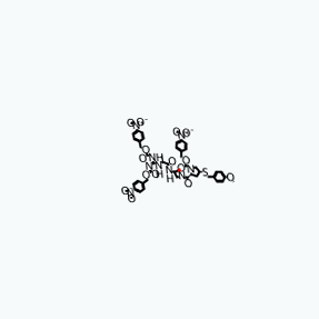 COc1ccc(CS[C@H]2C[C@@H](C(=O)N3CC(NC(=O)[C@H](C)N/C(=N\C(=O)OCc4ccc([N+](=O)[O-])cc4)NC(=O)OCc4ccc([N+](=O)[O-])cc4)C3)N(C(=O)OCc3ccc([N+](=O)[O-])cc3)C2)cc1